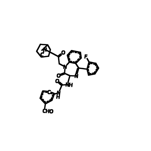 O=Cc1cccc(NC(=O)NC2N=C(c3ccccc3F)c3ccccc3N(CC(=O)N3CC4CCC(CC4)C3)C2=O)c1